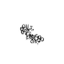 Cc1oc(=O)oc1CN1CCN(c2cc3c(cc2F)c(=O)c(C(=O)O)cn3C2CC2)CC1C